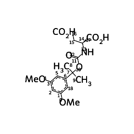 COc1cc(OC)cc(C(C)(C)OC(=O)N[C@@H](CC(=O)O)C(=O)O)c1